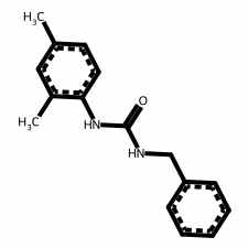 Cc1ccc(NC(=O)NCc2ccccc2)c(C)c1